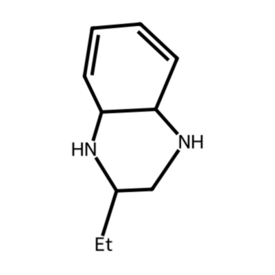 CCC1CNC2C=CC=CC2N1